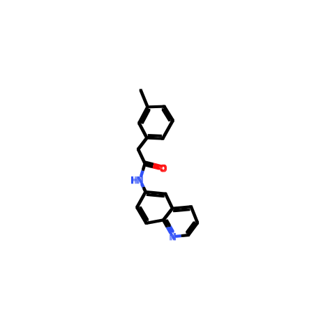 Cc1cccc(CC(=O)Nc2ccc3ncccc3c2)c1